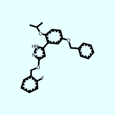 CC(C)Oc1ccc(OCc2ccccc2)cc1-c1cc(OCc2ccccc2F)n[nH]1